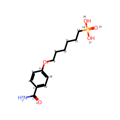 NC(=O)c1ccc(OCCCCCCP(=O)(O)O)cc1